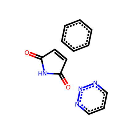 O=C1C=CC(=O)N1.c1ccccc1.c1cnnnc1